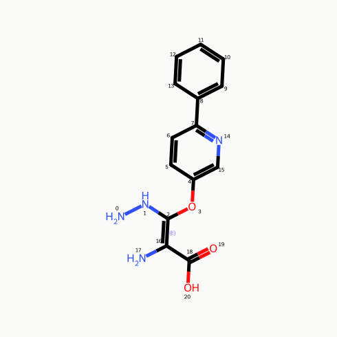 NN/C(Oc1ccc(-c2ccccc2)nc1)=C(\N)C(=O)O